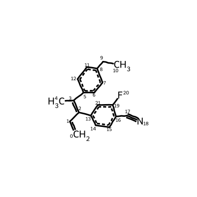 C=C/C(=C(\C)c1ccc(CC)cc1)c1ccc(C#N)c(F)c1